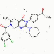 CNC(=O)c1ccc(-n2c(N3CCCCCC3)nc3c(c2=O)C[C@@H](C)N(C(=O)c2ccc(Cl)c(Cl)c2)C3)cc1